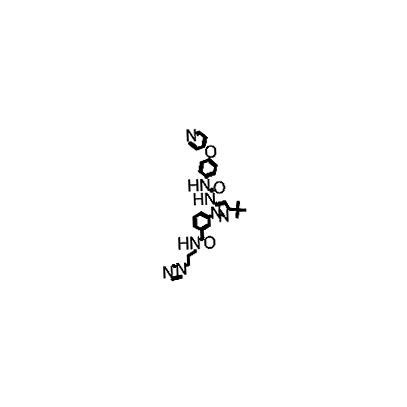 CC(C)(C)c1cc(NC(=O)Nc2ccc(Oc3ccncc3)cc2)n(-c2cccc(C(=O)NCCCn3ccnc3)c2)n1